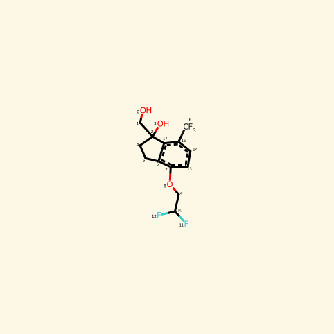 OCC1(O)CCc2c(OCC(F)F)ccc(C(F)(F)F)c21